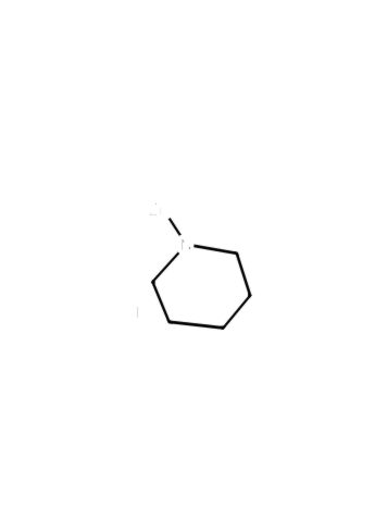 [I-].[Zn+][N]1CCCCC1